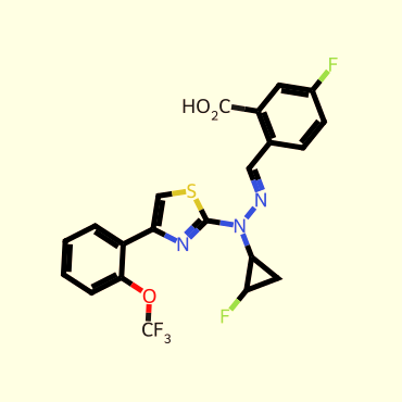 O=C(O)c1cc(F)ccc1/C=N/N(c1nc(-c2ccccc2OC(F)(F)F)cs1)C1CC1F